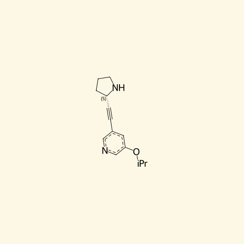 CC(C)Oc1cncc(C#C[C@@H]2CCCN2)c1